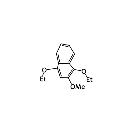 CCOc1cc(OC)c(OCC)c2ccccc12